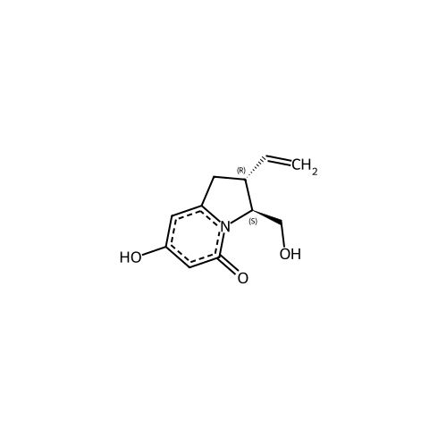 C=C[C@H]1Cc2cc(O)cc(=O)n2[C@@H]1CO